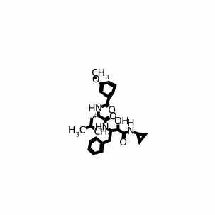 COc1cccc(C(=O)N[C@@H](CC(C)C)C(=O)NC(Cc2ccccc2)C(O)C(=O)NC2CC2)c1